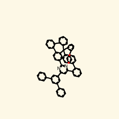 c1ccc(-c2cc(-c3ccccc3)cc(-c3cc(-c4ccccc4-c4ccccc4)nc(-c4ccc5c(c4)C4(c6ccccc6-c6ccccc6-5)c5ccccc5-c5ccccc54)n3)c2)cc1